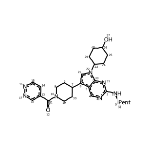 CCC[C@H](C)Nc1ncc2c(C3CCN(C(=O)c4ccnnc4)CC3)cn(C3CCC(O)CC3)c2n1